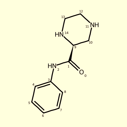 O=C(Nc1ccccc1)[C@@H]1CNCCN1